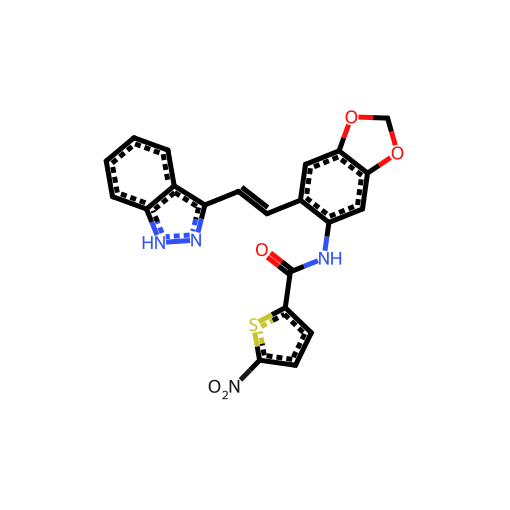 O=C(Nc1cc2c(cc1C=Cc1n[nH]c3ccccc13)OCO2)c1ccc([N+](=O)[O-])s1